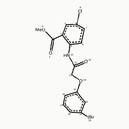 COC(=O)c1cc(Cl)ccc1NC(=O)COc1cccc(C(C)(C)C)c1